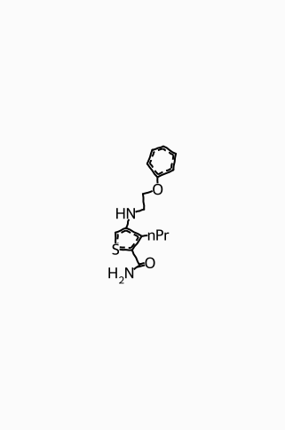 CCCc1c(NCCOc2ccccc2)csc1C(N)=O